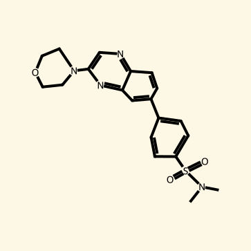 CN(C)S(=O)(=O)c1ccc(-c2ccc3ncc(N4CCOCC4)nc3c2)cc1